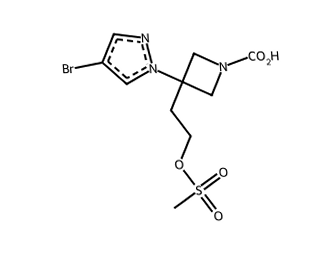 CS(=O)(=O)OCCC1(n2cc(Br)cn2)CN(C(=O)O)C1